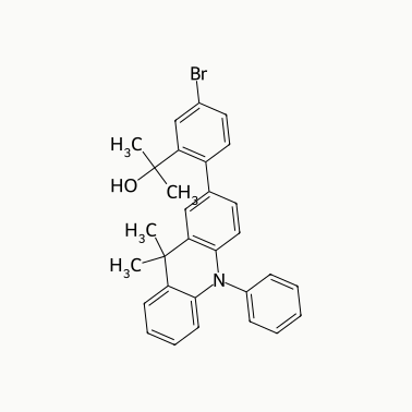 CC(C)(O)c1cc(Br)ccc1-c1ccc2c(c1)C(C)(C)c1ccccc1N2c1ccccc1